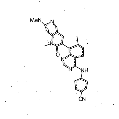 CNc1ncc2cc(-c3c(C)ccc4c(Nc5ccc(C#N)cc5)ncnc34)c(=O)n(C)c2n1